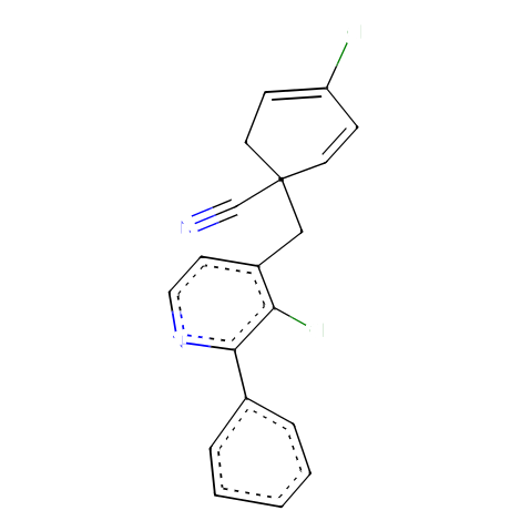 N#CC1(Cc2ccnc(-c3ccccc3)c2Cl)C=CC(Cl)=CC1